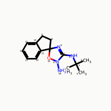 CC(C)(C)NC1=NC2(CCc3ccccc32)ON1N